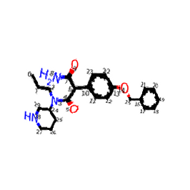 CCCN(C(=O)C(C(N)=O)c1ccc(OCc2ccccc2)cc1)C1CCCNC1